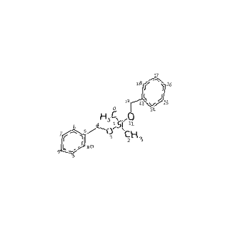 C[Si](C)(OCc1ccccc1)OCc1ccccc1